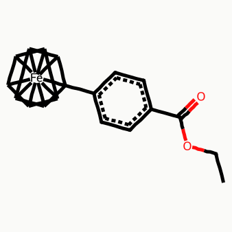 CCOC(=O)c1ccc([C]23[CH]4[CH]5[CH]6[CH]2[Fe]56432789[CH]3[CH]2[CH]7[CH]8[CH]39)cc1